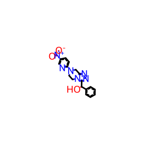 O=[N+]([O-])c1ccc(N2CCn3c(nnc3C(O)c3ccccc3)C2)nc1